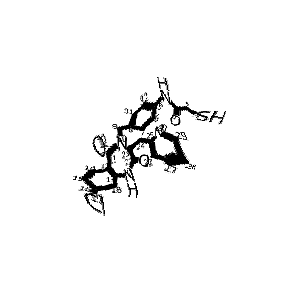 O=C(CS)Nc1ccc(CN2C(=O)c3ccc(Cl)cc3NC(=O)C2Cc2ccccn2)cc1